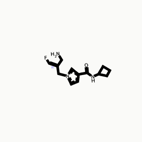 NC/C(=C\F)Cn1ccc(C(=O)NC2CCC2)c1